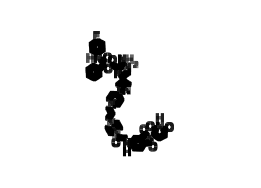 Nc1ncc(-c2cnn(C3CCN(CCCN4CCN(C(=O)CNc5ccc6c(c5)C(=O)N(C5CCC(=O)NC5=O)C6=O)CC4)CC3)c2)nc1C(=O)O[C@@H](C(=O)Nc1ccc(F)cc1)c1ccccc1